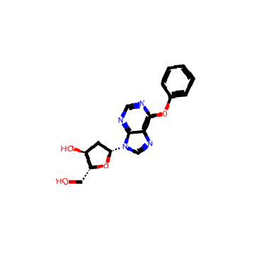 OC[C@H]1O[C@@H](n2cnc3c(Oc4ccccc4)ncnc32)C[C@@H]1O